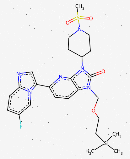 C[Si](C)(C)CCOCn1c(=O)n(C2CCN(S(C)(=O)=O)CC2)c2nc(-c3cnc4ccc(F)cn34)ccc21